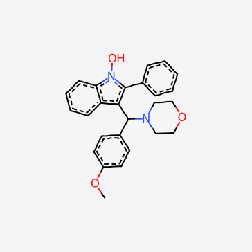 COc1ccc(C(c2c(-c3ccccc3)n(O)c3ccccc23)N2CCOCC2)cc1